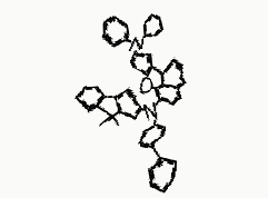 CC1(C)c2ccccc2-c2ccc(N(c3ccc(-c4ccccc4)cc3)c3ccc4cccc5c4c3Oc3ccc(N(c4ccccc4)c4ccccc4)cc3-5)cc21